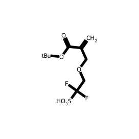 C=C(COCC(F)(F)S(=O)(=O)O)C(=O)OC(C)(C)C